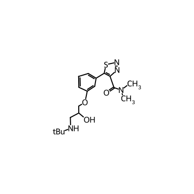 CN(C)C(=O)c1nnsc1-c1cccc(OCC(O)CNC(C)(C)C)c1